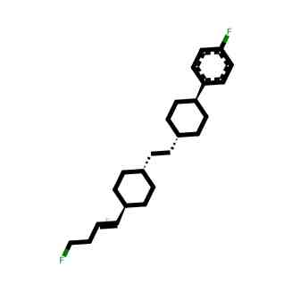 FCC/C=C/[C@H]1CC[C@H](CC[C@H]2CC[C@H](c3ccc(F)cc3)CC2)CC1